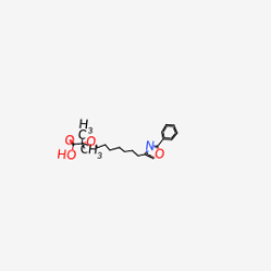 CC(C)(OCCCCCCCc1coc(-c2ccccc2)n1)C(=O)O